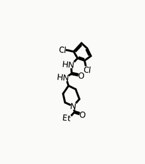 CCC(=O)N1CCC(NC(=O)Nc2c(Cl)cccc2Cl)CC1